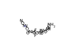 C[C@H](NC(=O)c1cccc(-n2cc(CN)nn2)c1)C(=O)COc1c(F)cc(CNC(=O)c2ccc(/N=N/c3ccc(N(C)C)cc3)cc2)cc1F